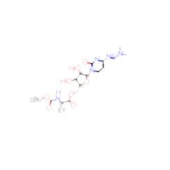 CC[C@H](NC(=O)OC(C)(C)C)C(=O)OC[C@H]1O[C@@H](n2ccc(/N=C/N(C)C)nc2=O)[C@H](O)[C@@H]1O